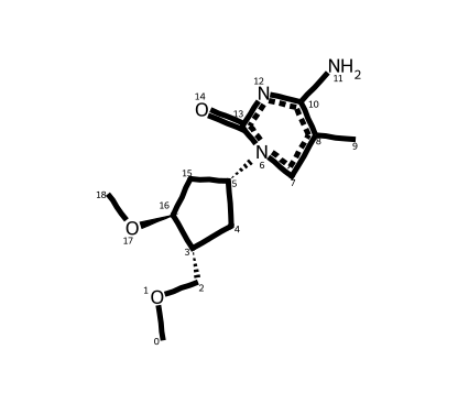 COC[C@H]1C[C@@H](n2cc(C)c(N)nc2=O)C[C@@H]1OC